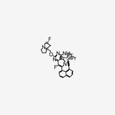 CC(C)[Si](C#Cc1cccc2cccc(-c3ncc4c(N)nc(OC[C@@]56CCCN5C[C@H](F)C6)nc4c3F)c12)(C(C)C)C(C)C